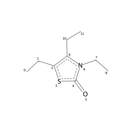 CCc1sc(=O)n(CC)c1CC